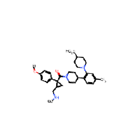 CCOc1ccc(C2(C(=O)N3CCC(c4ccc(C(F)(F)F)cc4N4CCC(C(=O)O)CC4)CC3)CC2CNC(C)(C)C)cc1